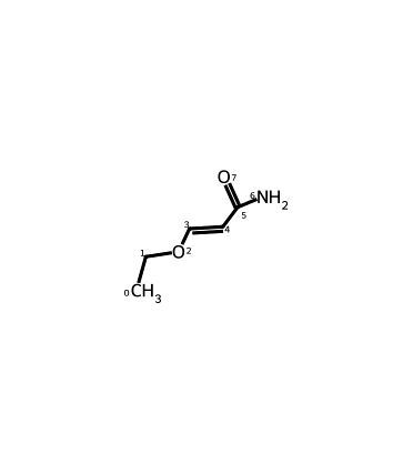 CCOC=CC(N)=O